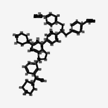 COc1ccc(CN(Cc2ccc(OC)cc2)c2ncc(-c3nc(N4CCOCC4)nc4c3CCN4c3cccc(C(=O)N4CCOCC4)c3)cn2)cc1